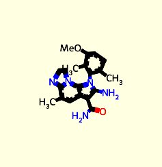 COc1ccc(C)c(-n2c(N)c(C(N)=O)c3cc(C)c4nccn4c32)c1C